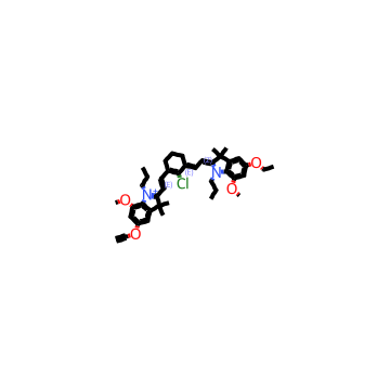 C#COc1cc(OC)c2c(c1)C(C)(C)C(/C=C/C1=C(Cl)C(=C/C=C3\N(CCC)c4c(OC)cc(OCC)cc4C3(C)C)/CCC1)=[N+]2CCC